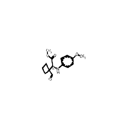 COC(=O)[C@@H](Nc1ccc(OC)cc1)C1(C=O)CCC1